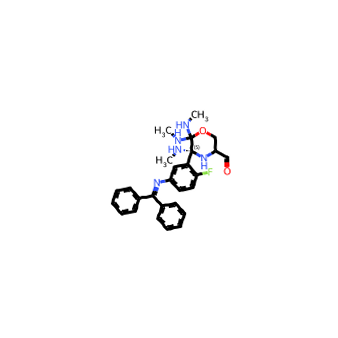 CNC1(NC)OCC(C=O)N[C@@]1(NC)c1cc(N=C(c2ccccc2)c2ccccc2)ccc1F